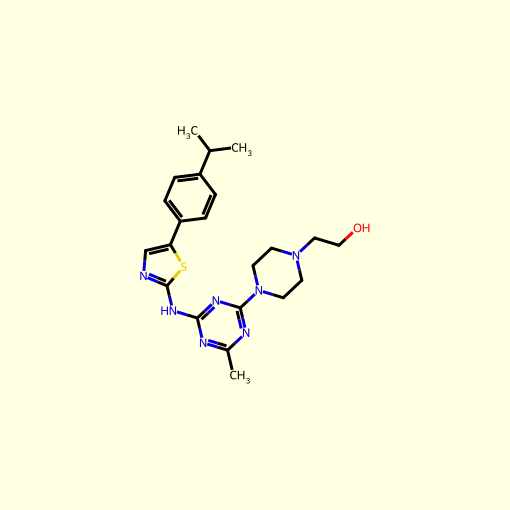 Cc1nc(Nc2ncc(-c3ccc(C(C)C)cc3)s2)nc(N2CCN(CCO)CC2)n1